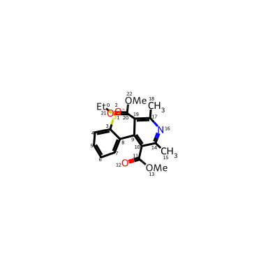 CC[S+]([O-])c1ccccc1-c1c(C(=O)OC)c(C)nc(C)c1C(=O)OC